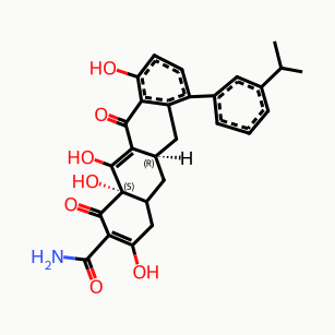 CC(C)c1cccc(-c2ccc(O)c3c2C[C@H]2CC4CC(O)=C(C(N)=O)C(=O)[C@@]4(O)C(O)=C2C3=O)c1